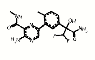 CNC(=O)c1nc(-c2cc(C(O)(C(N)=O)C(F)F)ccc2C)cnc1N